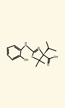 CC(C)[C@]1(C(=O)O)N=C(Nc2ccccc2O)SC1(C)C